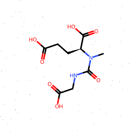 CN(C(=O)NCC(=O)O)[C@@H](CCC(=O)O)C(=O)O